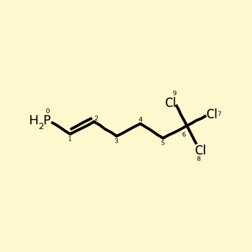 PC=CCCCC(Cl)(Cl)Cl